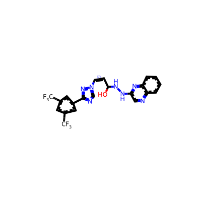 OC(/C=C\n1cnc(-c2cc(C(F)(F)F)cc(C(F)(F)F)c2)n1)NNc1cnc2ccccc2n1